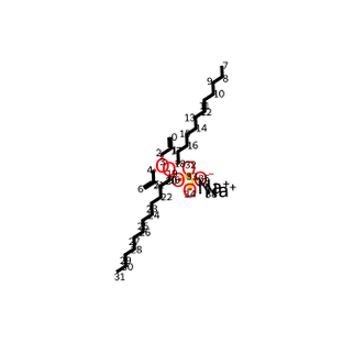 C=CCOCC=C.CCCCCCCCCCCCOCCCCCCCCCCCC.O=S(=O)([O-])[O-].[Na+].[Na+]